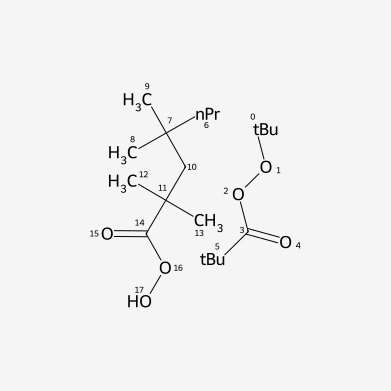 CC(C)(C)OOC(=O)C(C)(C)C.CCCC(C)(C)CC(C)(C)C(=O)OO